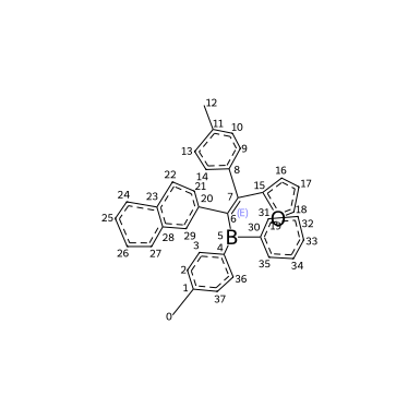 Cc1ccc(B(/C(=C(/c2ccc(C)cc2)c2ccco2)c2ccc3ccccc3c2)c2ccccc2)cc1